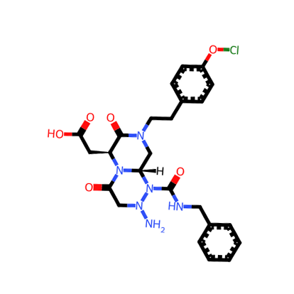 NN1CC(=O)N2[C@@H](CC(=O)O)C(=O)N(CCc3ccc(OCl)cc3)C[C@@H]2N1C(=O)NCc1ccccc1